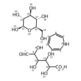 C1=CC=CNC=C1.O=CC(O)C(O)C(O)C(O)C(=O)O.OC[C@H]1O[C@@H](O)[C@H](O)[C@@H](O)[C@@H]1O